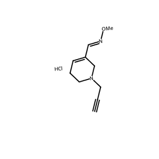 C#CCN1CCC=C(C=NOC)C1.Cl